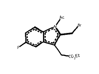 CCOC(=O)Cc1c(CBr)n(C(C)=O)c2ccc(F)cc12